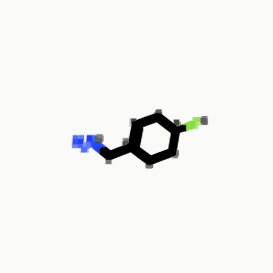 NCC1=CC[C@@H](F)CC1